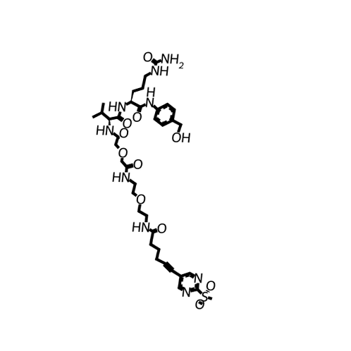 CC(C)[C@H](NC(=O)COCC(=O)NCCOCCNC(=O)CCCC#Cc1cnc(S(C)(=O)=O)nc1)C(=O)N[C@@H](CCCNC(N)=O)C(=O)Nc1ccc(CO)cc1